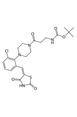 CC(C)(C)OC(=O)NCCC(=O)N1CCN(c2c(Cl)cccc2C=C2SC(=O)NC2=O)CC1